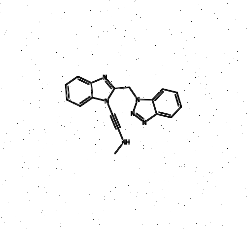 CNC#Cn1c(Cn2nnc3ccccc32)nc2ccccc21